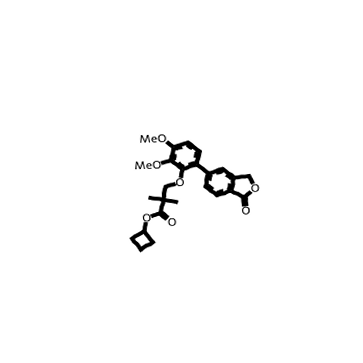 COc1ccc(-c2ccc3c(c2)COC3=O)c(OCC(C)(C)C(=O)OC2CCC2)c1OC